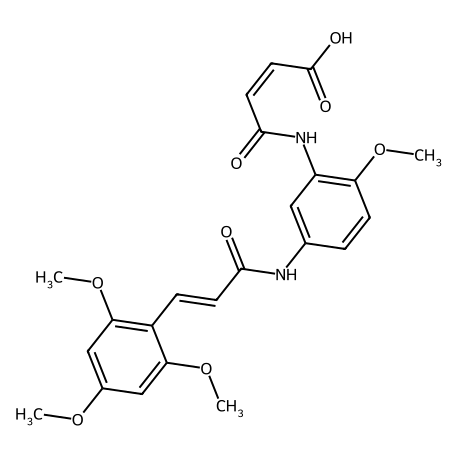 COc1cc(OC)c(/C=C/C(=O)Nc2ccc(OC)c(NC(=O)/C=C\C(=O)O)c2)c(OC)c1